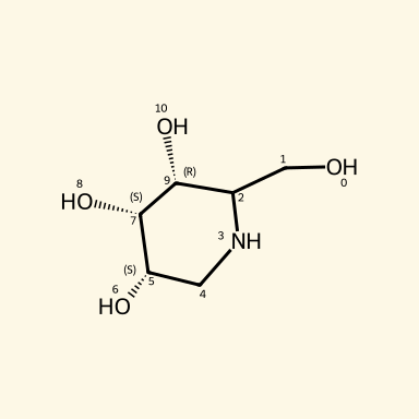 OCC1NC[C@H](O)[C@H](O)[C@@H]1O